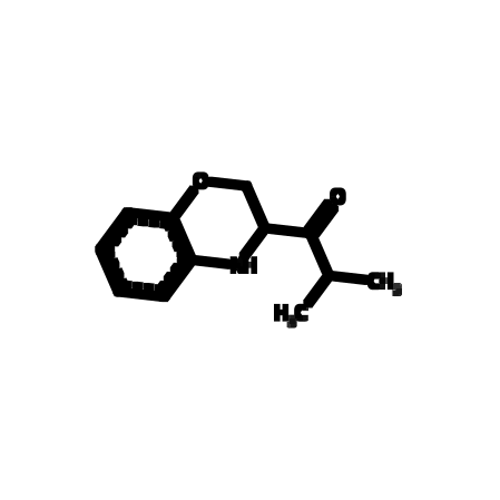 CC(C)C(=O)C1COc2ccccc2N1